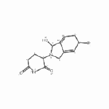 O=C1CCC(N2CC3=CC(Br)CC=C3C2O)C(=O)N1